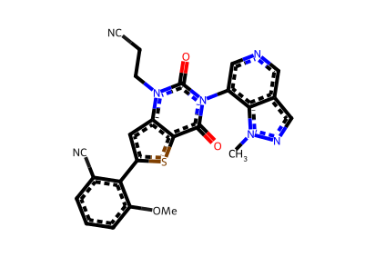 COc1cccc(C#N)c1-c1cc2c(s1)c(=O)n(-c1cncc3cnn(C)c13)c(=O)n2CCC#N